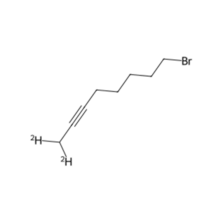 [2H]C([2H])C#CCCCCCBr